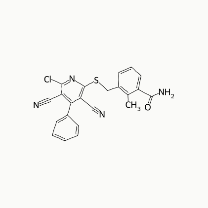 Cc1c(CSc2nc(Cl)c(C#N)c(-c3ccccc3)c2C#N)cccc1C(N)=O